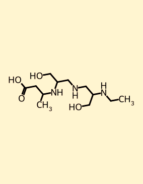 CCNC(CO)CNCC(CO)NC(C)CC(=O)O